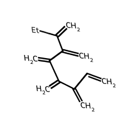 C=CC(=C)C(=C)C(=C)C(=C)C(=C)CC